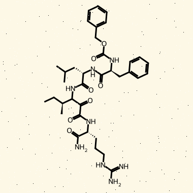 CC[C@H](C)C(NC(=O)[C@H](CC(C)C)NC(=O)[C@H](Cc1ccccc1)NC(=O)OCc1ccccc1)C(=O)C(=O)N[C@H](CCCNC(=N)N)C(N)=O